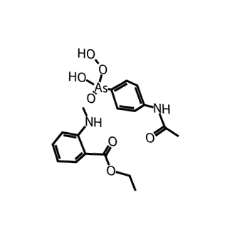 CC(=O)Nc1ccc([As](=O)(O)OO)cc1.CCOC(=O)c1ccccc1NC